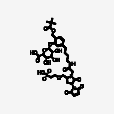 CC(C)(C)C(=O)OCc1ccc(CCCCNC(=O)CN2C(=O)[C@@H](N3C(=O)C=CC3=O)CC2COCCS(=O)(=O)O)cc1O[C@@H]1O[C@H](C(=O)O)[C@@H](O)[C@H](O)[C@H]1O